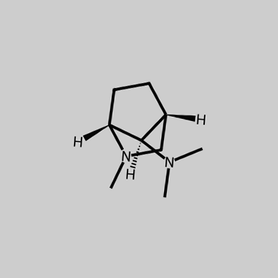 CN(C)[C@@H]1[C@@H]2CC[C@H]1N(C)C2